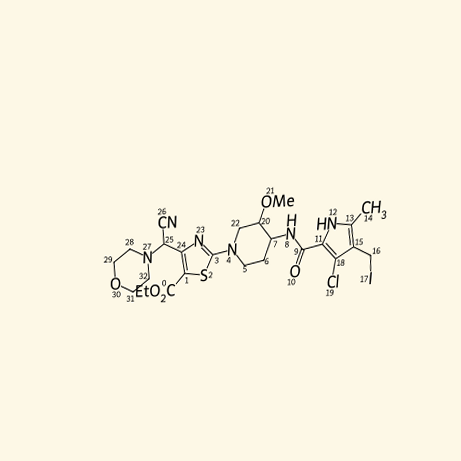 CCOC(=O)c1sc(N2CCC(NC(=O)c3[nH]c(C)c(CI)c3Cl)C(OC)C2)nc1C(C#N)N1CCOCC1